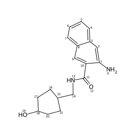 Nc1cc2ccccc2cc1C(=O)N[CH]C1CCC(O)CC1